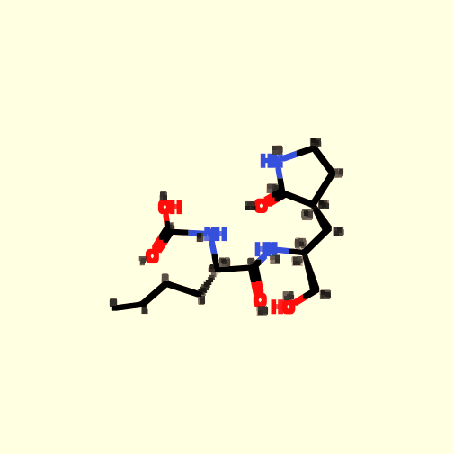 CCCC[C@H](NC(=O)O)C(=O)N[C@H](CO)C[C@@H]1CCNC1=O